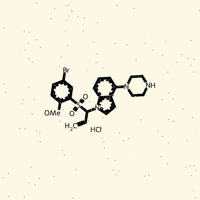 C=CC(n1ccc2c(N3CCNCC3)cccc21)S(=O)(=O)c1cc(Br)ccc1OC.Cl